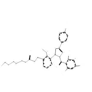 CCCCCCCC(=O)CCc1cccc(C2CC(c3ccc(F)cc3)=CC2C(=O)c2c(F)cc(F)cc2F)c1CC